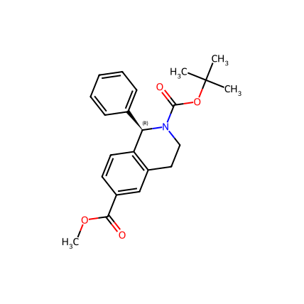 COC(=O)c1ccc2c(c1)CCN(C(=O)OC(C)(C)C)[C@@H]2c1ccccc1